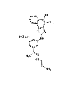 CC(=NNC=NN)c1cccc(Nc2nc3c(s2)c(C)c(O)c2ccccc23)c1.Cl.Cl